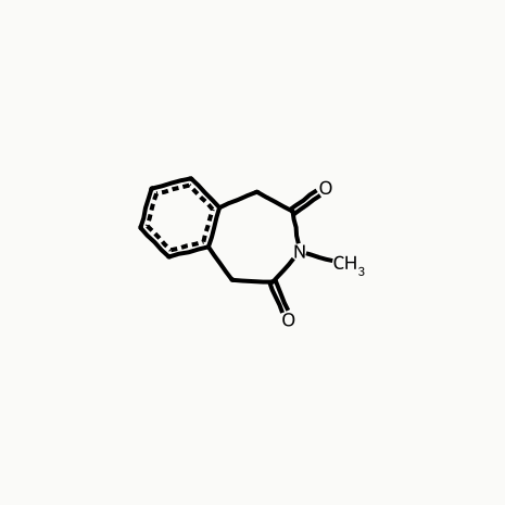 CN1C(=O)Cc2ccccc2CC1=O